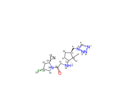 CC1(C)[C@H](Cn2cnnn2)CC[C@]1(C)NCC(=O)N1C[C@@H](F)C[C@H]1C#N